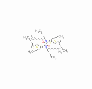 CCCCCCCCC(CCCCCC)CN1C(=O)C2=C(c3cc(CCCCCC)c(-c4ccc(-c5sccc5CCCCCC)s4)s3)N(CC(CCCCCC)CCCCCCCC)C(=O)C2=C1c1cc(CCCCCC)c(-c2ccc(-c3sccc3CCCCCC)s2)s1